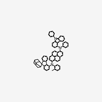 Cc1ccccc1N(c1cccc2c1-c1ccccc1C21C2CC3CC(C2)CC1C3)c1ccc2ccc3c(N(c4ccccc4)c4cccc5c4c4ccccc4n5-c4ccccc4)ccc4ccc1c2c43